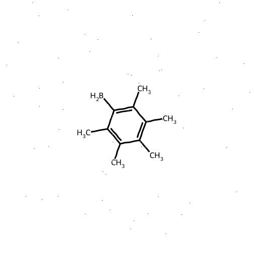 Bc1c(C)c(C)c(C)c(C)c1C